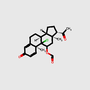 CC(=O)[C@H]1CC[C@H]2[C@@H]3CCC4=CC(=O)C=C[C@]4(C)C3(Cl)C(OC=O)C[C@]12C